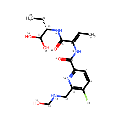 C/C=C(\NC(=O)c1ccc(F)c(CNCO)n1)C(=O)N[C@@H](CC)C(O)O